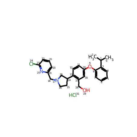 CC(C)c1ccccc1Oc1ccc(C2CCN(Cc3cccc(Cl)n3)C2)c(CO)c1.Cl